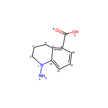 NN1CCCc2c(C(=O)O)cccc21